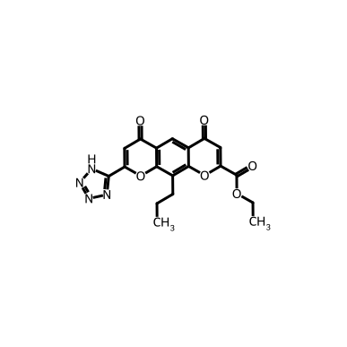 CCCc1c2oc(C(=O)OCC)cc(=O)c2cc2c(=O)cc(-c3nnn[nH]3)oc12